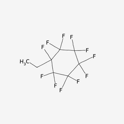 CCC1(F)C(F)(F)C(F)(F)C(F)(F)C(F)(F)C1(F)F